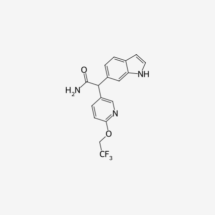 NC(=O)C(c1ccc(OCC(F)(F)F)nc1)c1ccc2cc[nH]c2c1